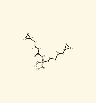 CCO[Si](CCCOCC1CO1)(OCC)OC(C)COCC1CO1